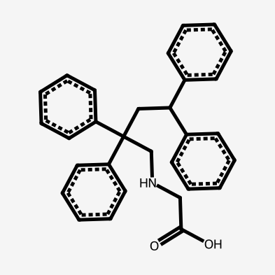 O=C(O)CNCC(CC(c1ccccc1)c1ccccc1)(c1ccccc1)c1ccccc1